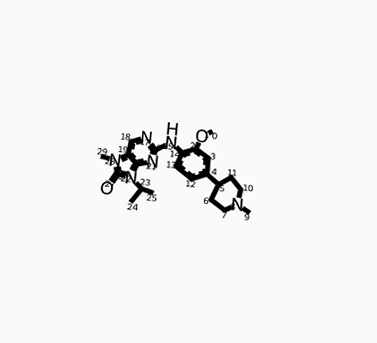 COc1cc(C2CCN(C)CC2)ccc1Nc1ncc2c(n1)n(C(C)C)c(=O)n2C